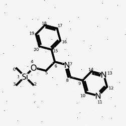 C[Si](C)(C)OCC(N=Cc1cncnc1)c1ccccc1